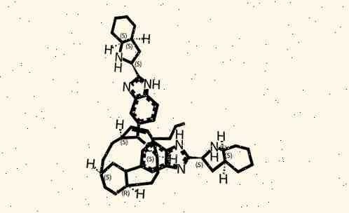 CCCC1C=C[C@@H]2CC[C@@H]3CC[C@H](CC[C@H]1CC2c1ccc2[nH]c([C@@H]4C[C@@H]5CCCC[C@@H]5N4)nc2c1)C(c1ccc2[nH]c([C@@H]4C[C@@H]5CCCC[C@@H]5N4)nc2c1)C3